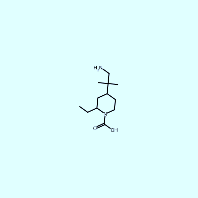 CCC1CC(C(C)(C)CN)CCN1C(=O)O